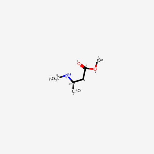 CC(C)(C)OC(=O)C[C@@H](C=O)NC(=O)O